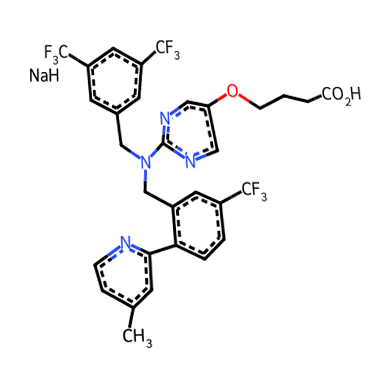 Cc1ccnc(-c2ccc(C(F)(F)F)cc2CN(Cc2cc(C(F)(F)F)cc(C(F)(F)F)c2)c2ncc(OCCCC(=O)O)cn2)c1.[NaH]